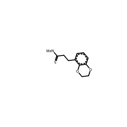 CNC(=S)CCc1cccc2c1OCCO2